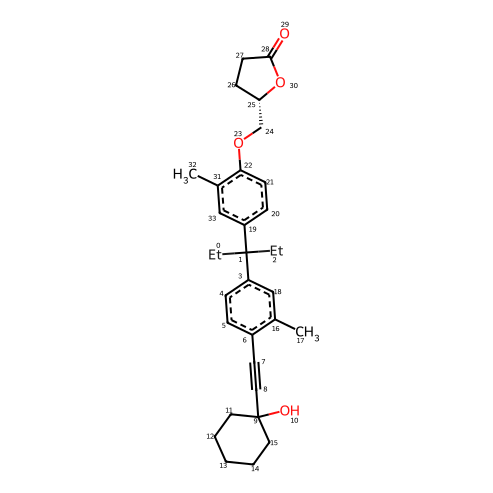 CCC(CC)(c1ccc(C#CC2(O)CCCCC2)c(C)c1)c1ccc(OC[C@@H]2CCC(=O)O2)c(C)c1